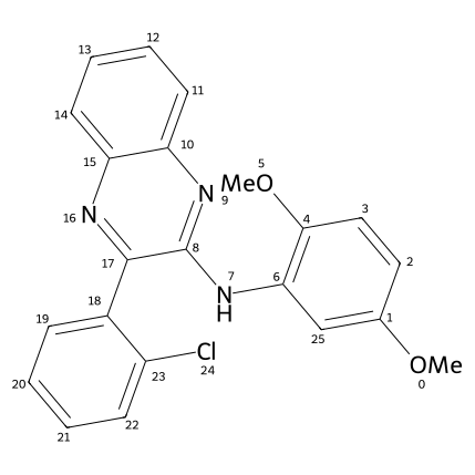 COc1ccc(OC)c(Nc2nc3ccccc3nc2-c2ccccc2Cl)c1